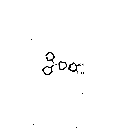 C1CC[CH]([SnH]([CH]2CCCCC2)[CH]2CCCCC2)CC1.O=C(O)c1cccnc1O